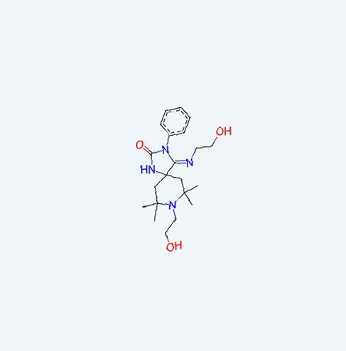 CC1(C)CC2(CC(C)(C)N1CCO)NC(=O)N(c1ccccc1)C2=NCCO